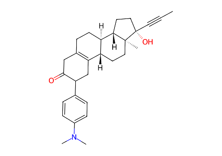 CC#C[C@]1(O)CC[C@H]2[C@@H]3CCC4=C(CC(c5ccc(N(C)C)cc5)C(=O)C4)[C@H]3CC[C@@]21C